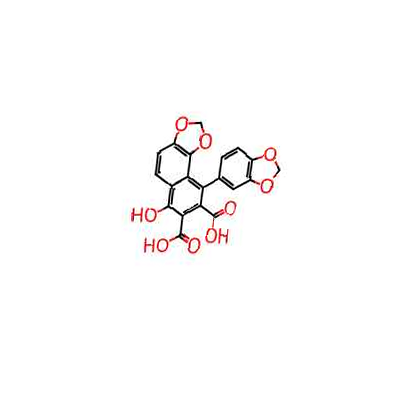 O=C(O)c1c(C(=O)O)c(-c2ccc3c(c2)OCO3)c2c3c(ccc2c1O)OCO3